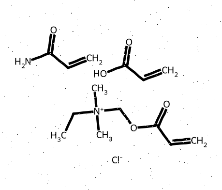 C=CC(=O)O.C=CC(=O)OC[N+](C)(C)CC.C=CC(N)=O.[Cl-]